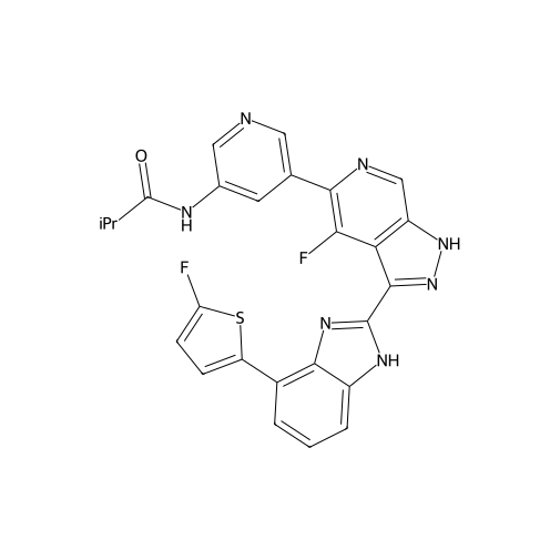 CC(C)C(=O)Nc1cncc(-c2ncc3[nH]nc(-c4nc5c(-c6ccc(F)s6)cccc5[nH]4)c3c2F)c1